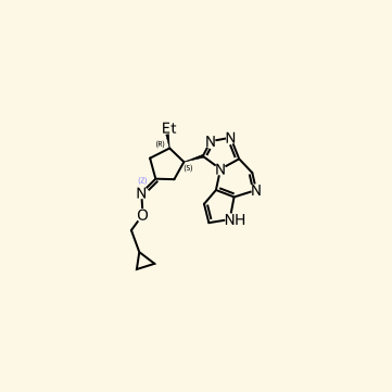 CC[C@@H]1C/C(=N/OCC2CC2)C[C@@H]1c1nnc2cnc3[nH]ccc3n12